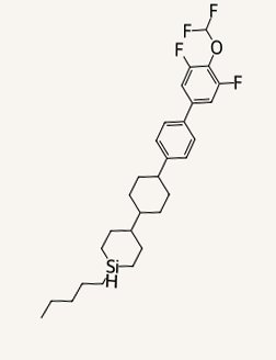 CCCCC[SiH]1CCC(C2CCC(c3ccc(-c4cc(F)c(OC(F)F)c(F)c4)cc3)CC2)CC1